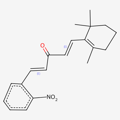 CC1=C(/C=C/C(=O)/C=C/c2ccccc2[N+](=O)[O-])C(C)(C)CCC1